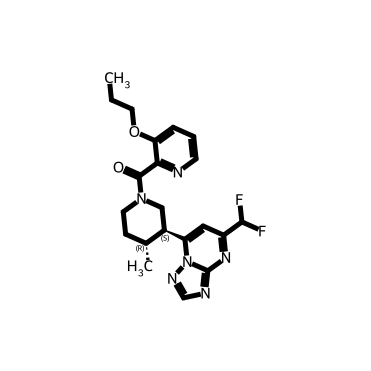 CCCOc1cccnc1C(=O)N1CC[C@@H](C)[C@H](c2cc(C(F)F)nc3ncnn23)C1